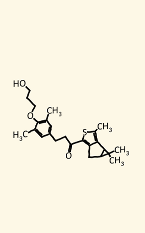 Cc1cc(CCC(=O)c2sc(C)c3c2CC2C3C2(C)C)cc(C)c1OCCCO